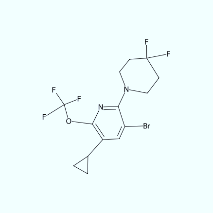 FC1(F)CCN(c2nc(OC(F)(F)F)c(C3CC3)cc2Br)CC1